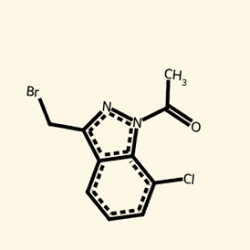 CC(=O)n1nc(CBr)c2cccc(Cl)c21